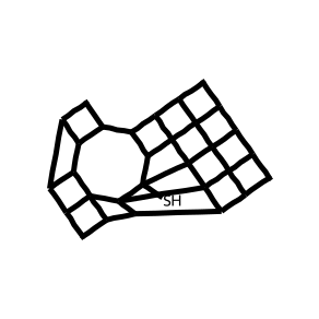 SC12C3C4C5CC6C5C5C6C6CC7C8C9C%10CC%11C%12C%13CC%14C4C34C%14%13C%123C%11%10C9(C81C675)C243